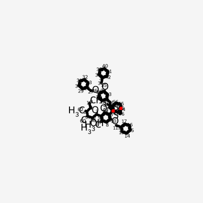 CCC1OC(c2c(C)cc(OCc3ccccc3)c(C3(CCc4ccc(OCc5ccccc5)c(OCc5ccccc5)c4)SCCS3)c2OCc2ccccc2)C(O)C(C)C1C